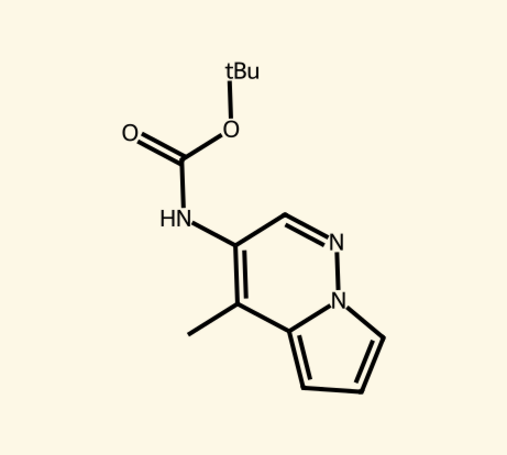 Cc1c(NC(=O)OC(C)(C)C)cnn2cccc12